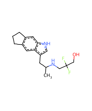 CC(Cc1c[nH]c2cc3c(cc12)CCC3)NCC(F)(F)CO